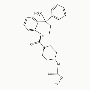 CC(C)(C)OC(=O)NC1CCN(C(=O)[C@@H]2CCC(C(=O)O)(c3ccccc3)c3ccccc32)CC1